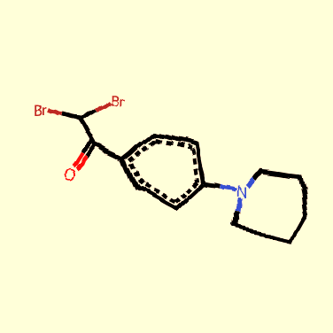 O=C(c1ccc(N2CCCCC2)cc1)C(Br)Br